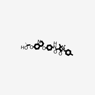 Cc1ccc(-n2c(=O)c(C(=O)Nc3ccc(Oc4ccnc5cc(OC[C@@H](C)O)ccc45)cc3)c(C)n2C)cc1